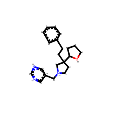 c1ccc(CCC2(C3CCCO3)CCN(Cc3cncnc3)C2)cc1